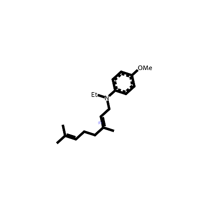 CCN(C/C=C(\C)CCC=C(C)C)c1ccc(OC)cc1